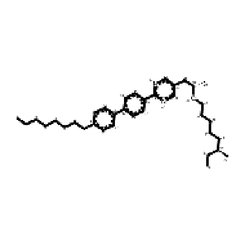 CCCCCCCCc1ccc(-c2ccc(-c3ncc(C[C@H](C)OCCCCC[C@@H](C)CC)cn3)cc2)cc1